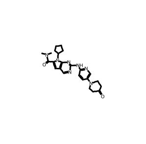 CN(C)C(=O)c1cc2cnc(Nc3ccc(N4CCC(=O)CC4)cn3)nc2n1C1CCCC1